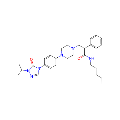 CCCCCNC(=O)C(CN1CCN(c2ccc(-n3cnn(C(C)C)c3=O)cc2)CC1)c1ccccc1